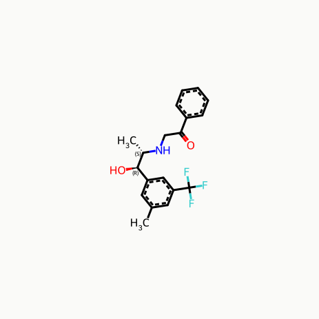 Cc1cc([C@@H](O)[C@H](C)NCC(=O)c2ccccc2)cc(C(F)(F)F)c1